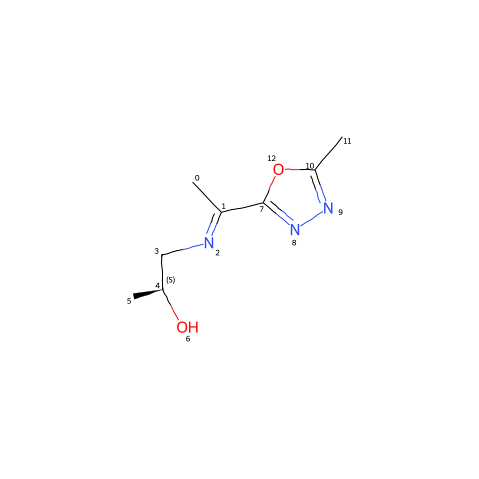 CC(=NC[C@H](C)O)c1nnc(C)o1